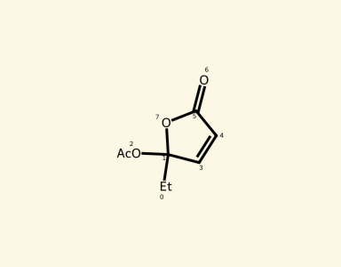 CCC1(OC(C)=O)C=CC(=O)O1